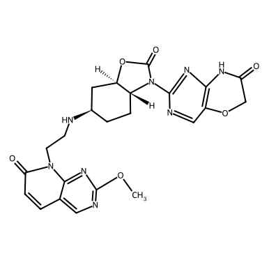 COc1ncc2ccc(=O)n(CCN[C@@H]3CC[C@@H]4[C@@H](C3)OC(=O)N4c3ncc4c(n3)NC(=O)CO4)c2n1